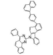 c1ccc(-c2nc(-n3c4ccccc4c4c5cccc(-c6ccc(-c7cccc8ccccc78)cc6)c5ccc43)nc3c2ccc2ccccc23)cc1